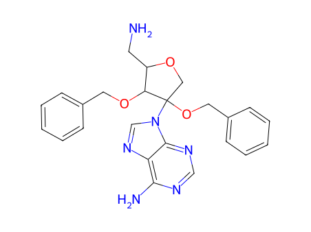 NCC1OCC(OCc2ccccc2)(n2cnc3c(N)ncnc32)C1OCc1ccccc1